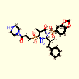 CC(CS(=O)(=O)CCC(=O)N1CCNCC1)C(=O)N([C@H](N)[C@@H](C)Cc1ccccc1)S(=O)(=O)c1ccc2c(c1)OCO2